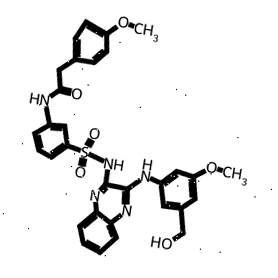 COc1ccc(CC(=O)Nc2cccc(S(=O)(=O)Nc3nc4ccccc4nc3Nc3cc(CO)cc(OC)c3)c2)cc1